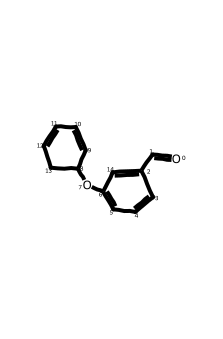 O=Cc1cccc(OC2C=CC=CC2)c1